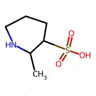 CC1NCCCC1S(=O)(=O)O